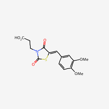 COc1ccc(/C=C2\SC(=O)N(CCC(=O)O)C2=O)cc1OC